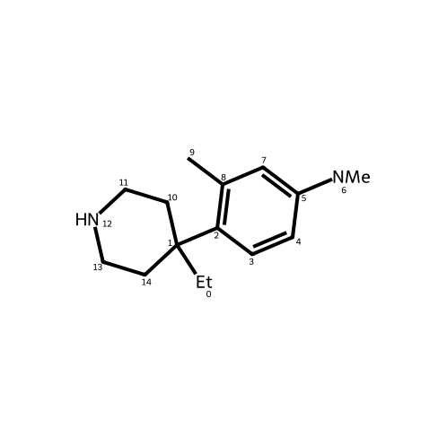 CCC1(c2ccc(NC)cc2C)CCNCC1